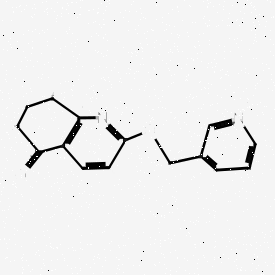 O=C1CCCc2nc(OCc3cccnc3)ccc21